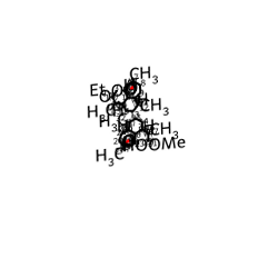 CCO[C@H]1O[C@@H]2O[C@]3(C)CC[C@H]4[C@H](C)CC[C@@H]([C@H]1C)C24OO3.CO[C@H]1O[C@@H]2O[C@]3(C)CC[C@H]4[C@H](C)CC[C@@H]([C@H]1C)C24OO3